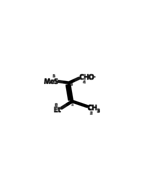 CCC(C)=C([C]=O)SC